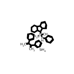 C=C(C(=C)c1ccccc1)c1ccccc1.[CH3][Ti]([CH3])([PH]c1ccccc1)[CH]1C2C=CC=CC2C2CCCCC21.[SiH4]